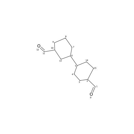 O=CC1CCC(C2CCCC(C=O)C2)CC1